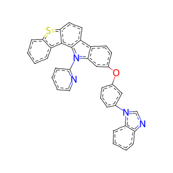 c1ccc(-n2c3cc(Oc4cccc(-n5cnc6ccccc65)c4)ccc3c3ccc4sc5ccccc5c4c32)nc1